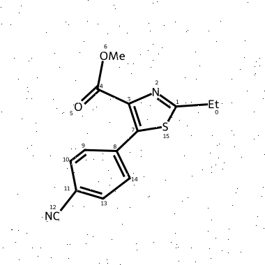 CCc1nc(C(=O)OC)c(-c2ccc(C#N)cc2)s1